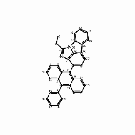 CCc1nc2c(-c3c4ccccc4c(-c4ccccc4)c4ccccc34)ccc3c4ccccc4n1c23